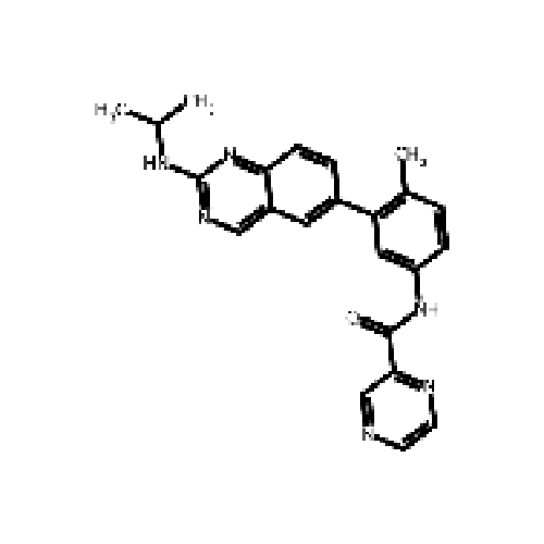 Cc1ccc(NC(=O)c2cnccn2)cc1-c1ccc2nc(NC(C)C)ncc2c1